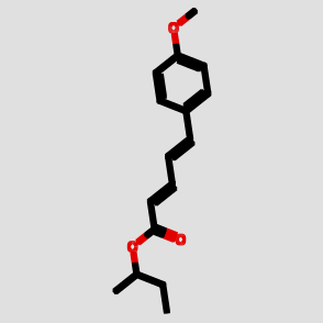 CCC(C)OC(=O)/C=C/C=C/c1ccc(OC)cc1